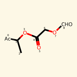 CC(=O)C(C)OC(=O)COC=O